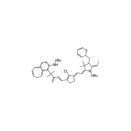 C=C(/C=C/C1=C(Cl)C(=C/C=C2/N(CCCC)/C(=C/C)C([C@@H](C)C3C=CC=CS3)C2(C)C)/CC1)C(C)(C)c1c(NCCCC)ccc2c1=CCC=CC=2